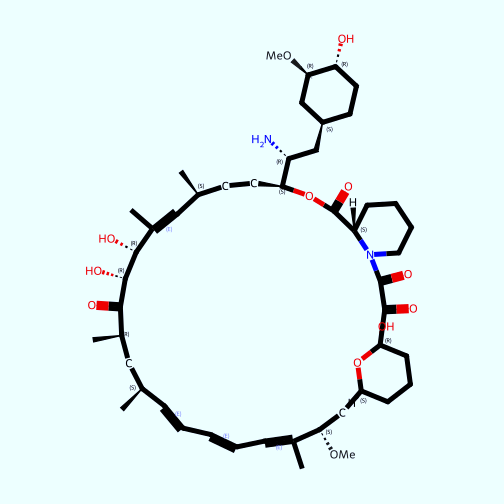 CO[C@H]1C[C@@H]2CCC[C@@](O)(O2)C(=O)C(=O)N2CCCC[C@H]2C(=O)O[C@H]([C@H](N)C[C@@H]2CC[C@@H](O)[C@H](OC)C2)CC[C@H](C)/C=C(\C)[C@@H](O)[C@@H](O)C(=O)[C@H](C)C[C@H](C)/C=C/C=C/C=C/1C